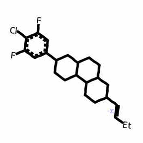 CC/C=C/C1CCC2C(CCC3CC(c4cc(F)c(Cl)c(F)c4)CCC32)C1